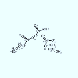 O.O.O.O.O.O=[N+]([O-])O.O=[N+]([O-])[O-].O=[N+]([O-])[O-].[Eu]